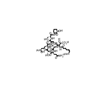 C/C=C(\NC(=O)[C@H](CCCN(O)C(C)=O)NC(=O)[C@@H](CO)NC(=O)[C@H](CCC(N)=O)NC(=O)[C@H](CO)NC(=O)[C@H](NC(=O)CCC/C=C\CCCCCC)[C@@H](O)C(=O)O)C(=O)N[C@H](CO)C(=O)N[C@@H]1CCCN(O)C1=O